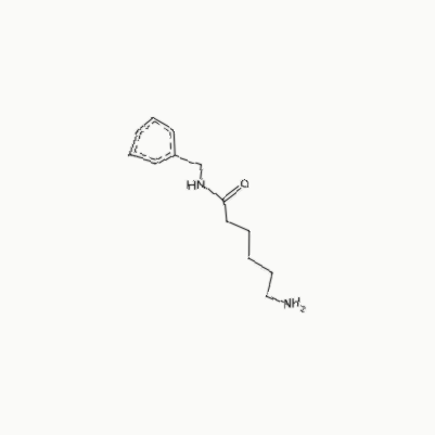 NCCCCCC(=O)NCc1ccccc1